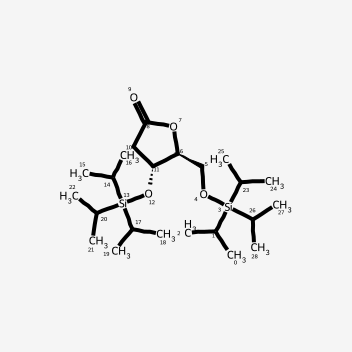 CC(C)[Si](OC[C@@H]1OC(=O)C[C@H]1O[Si](C(C)C)(C(C)C)C(C)C)(C(C)C)C(C)C